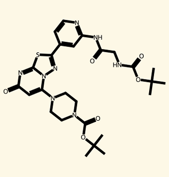 CC(C)(C)OC(=O)NCC(=O)Nc1cc(-c2nn3c(N4CCN(C(=O)OC(C)(C)C)CC4)cc(=O)nc3s2)ccn1